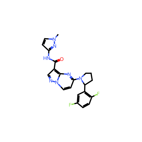 Cn1ccc(NC(=O)c2cnn3ccc(N4CCCC4c4cc(F)ccc4F)nc23)n1